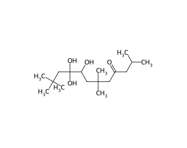 CC(C)CC(=O)CC(C)(C)CC(O)C(O)(O)CC(C)(C)C